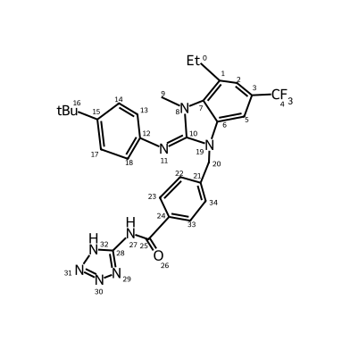 CCc1cc(C(F)(F)F)cc2c1n(C)c(=Nc1ccc(C(C)(C)C)cc1)n2Cc1ccc(C(=O)Nc2nnn[nH]2)cc1